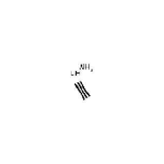 C#C.[AlH3].[LiH]